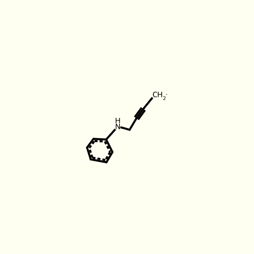 [CH2]C#CCNc1ccccc1